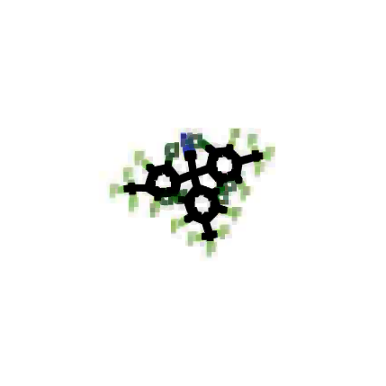 N#CC(c1c(Cl)c(F)c(C(F)(F)F)c(F)c1Cl)(c1c(Cl)c(F)c(C(F)(F)F)c(F)c1Cl)c1c(Cl)c(F)c(C(F)(F)F)c(F)c1Cl